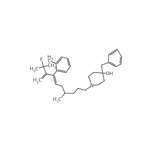 C=C(/C(=C/CC(C)CCCN1CCC(O)(Cc2ccccc2)CC1)c1ccccc1C)C(C)(C)F